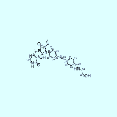 CC(C)N1C(=O)N(Cc2nc[nH]c(=O)c2O)CC1c1ccc(C#Cc2ccc(CNCCO)cc2)cc1